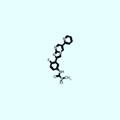 CCN(C)C(=O)Nc1ccc(F)c(-c2cn3cc(-c4ccccn4)cnc3n2)c1